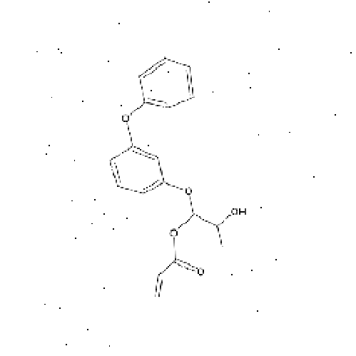 C=CC(=O)OC(Oc1cccc(Oc2ccccc2)c1)C(C)O